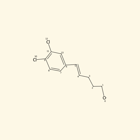 [O]CCCC=Cc1ccc(Cl)c(Cl)c1